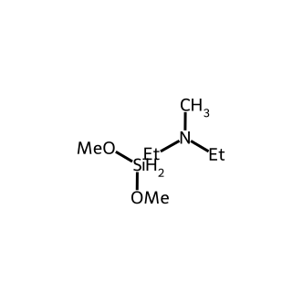 CCN(C)CC.CO[SiH2]OC